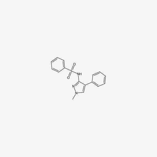 Cn1cc(-c2ccccc2)c(NS(=O)(=O)c2ccccc2)n1